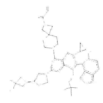 C=CC(=O)N1CC2(CCN(c3nc(N4CC[C@@H](N5CC(C)(C)C5)C4)nc4c(OCC(F)(F)F)c(-c5c(C)ccc6[nH]ncc56)c(C5CC5)cc34)CC2)C1